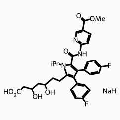 COC(=O)c1ccc(NC(=O)c2c(-c3ccc(F)cc3)c(-c3ccc(F)cc3)c(CC[C@@H](O)C[C@@H](O)CC(=O)O)n2C(C)C)nc1.[NaH]